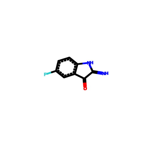 N=C1Nc2ccc(F)cc2C1=O